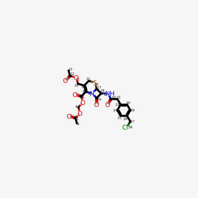 CC(=O)OCOC(=O)C1=C(COC(C)=O)CSC2C(NC(=O)Cc3ccc(CCl)cc3)C(=O)N12